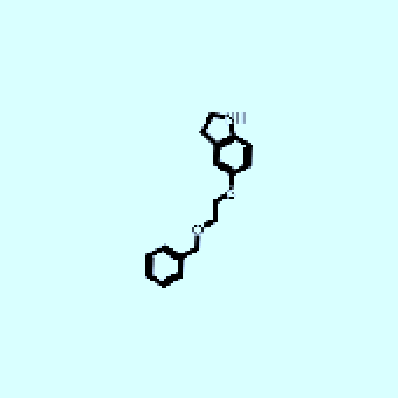 c1ccc(COCCSc2ccc3c(c2)CCN3)cc1